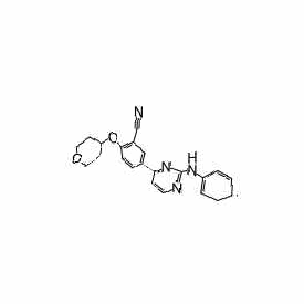 N#Cc1cc(-c2ccnc(NC3=CC[CH]C=C3)n2)ccc1OC1CCOCC1